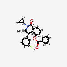 N#Cc1c(-c2cccc(F)c2)c2c(OC(=O)c3ccccc3)cccc2c(=O)n1C1CC1